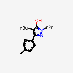 CCCCc1c(-c2ccc(C)cc2)nn(CCC)c1O